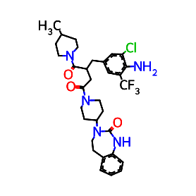 CC1CCN(C(=O)C(CC(=O)N2CCC(N3CCc4ccccc4NC3=O)CC2)Cc2cc(Cl)c(N)c(C(F)(F)F)c2)CC1